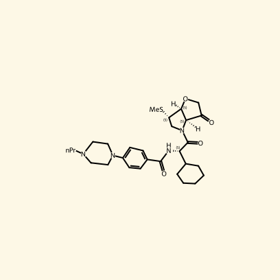 CCCN1CCN(c2ccc(C(=O)N[C@H](C(=O)N3C[C@H](SC)[C@H]4OCC(=O)[C@H]43)C3CCCCC3)cc2)CC1